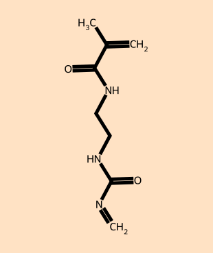 C=NC(=O)NCCNC(=O)C(=C)C